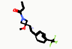 C=CC(=O)N1CC(/C=C/c2ccc(C(F)(F)F)cc2)(OC)C1